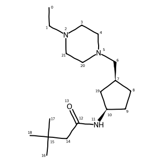 CCN1CCN(C[C@H]2CC[C@@H](NC(=O)CC(C)(C)C)C2)CC1